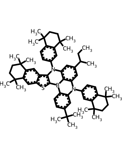 CCC(C)c1cc2c3c(c1)N(c1ccc4c(c1)C(C)(C)CCC4(C)C)c1c(sc4cc5c(cc14)C(C)(C)CCC5(C)C)B3c1ccc(C(C)(C)C)cc1N2c1ccc2c(c1)C(C)(C)CCC2(C)C